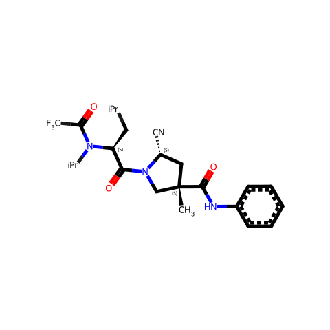 CC(C)C[C@@H](C(=O)N1C[C@@](C)(C(=O)Nc2ccccc2)C[C@H]1C#N)N(C(=O)C(F)(F)F)C(C)C